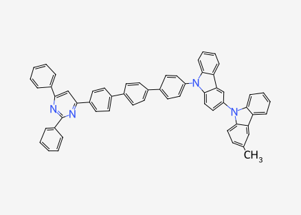 Cc1ccc2c(c1)c1ccccc1n2-c1ccc2c(c1)c1ccccc1n2-c1ccc(-c2ccc(-c3ccc(-c4cc(-c5ccccc5)nc(-c5ccccc5)n4)cc3)cc2)cc1